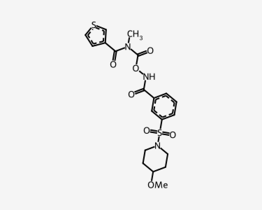 COC1CCN(S(=O)(=O)c2cccc(C(=O)NOC(=O)N(C)C(=O)c3ccsc3)c2)CC1